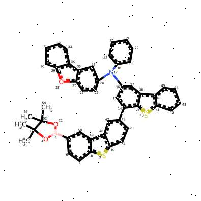 CC1(C)OB(c2ccc3sc4ccc(-c5cc(N(c6ccccc6)c6ccc7oc8ccccc8c7c6)cc6c5sc5ccccc56)cc4c3c2)OC1(C)C